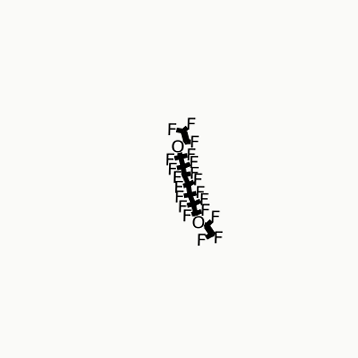 FC(F)=C(F)OC(F)(F)C(F)(F)C(F)(F)C(F)(F)C(F)(F)C(F)(F)C(F)(F)OC(F)=C(F)F